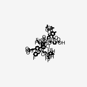 Cc1cc(CC(=O)N2[C@H](C(=O)O)CC[C@H]2C(=O)O)c(C(C)(C)CC(=O)N(Cc2nn(CC(F)(F)F)c3c(-c4ccc(C#CC(C)(C)S(C)(=O)=O)nc4[C@H](Cc4cc(F)cc(F)c4)NC(=O)Cn4nc(C(F)(F)F)c5c4C(F)(F)[C@@H]4C[C@H]54)ccc(Cl)c23)[SH](=O)=O)c(OP(=O)(OC(C)C)OC(C)C)c1